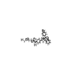 COCCOC(=O)Nc1ccc(C2=NN(C(=O)c3ccc(Br)cc3)C(c3ccccn3)C2)cc1